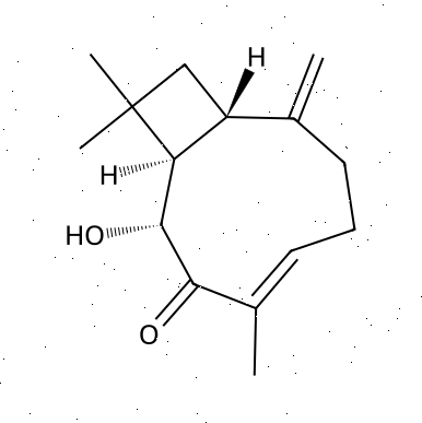 C=C1CC/C=C(\C)C(=O)[C@H](O)[C@@H]2[C@@H]1CC2(C)C